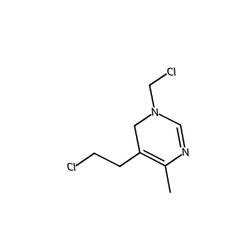 CC1=C(CCCl)CN(CCl)C=N1